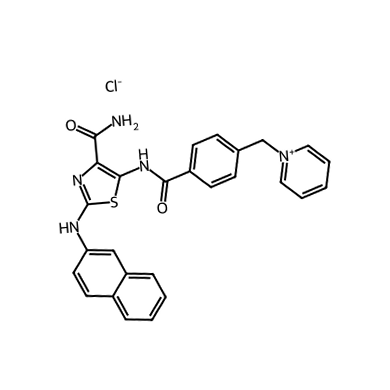 NC(=O)c1nc(Nc2ccc3ccccc3c2)sc1NC(=O)c1ccc(C[n+]2ccccc2)cc1.[Cl-]